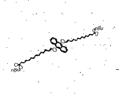 CCCCOC(=O)CCCCCCCCCCCCCOc1c2ccccc2c(OCCCCCCCCCCCCCC(=O)OCCCC)c2ccccc12